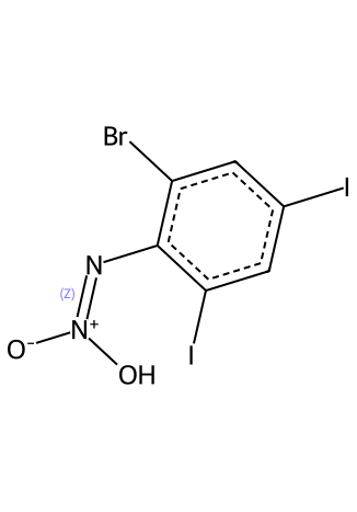 [O-]/[N+](O)=N/c1c(Br)cc(I)cc1I